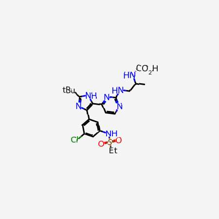 CCS(=O)(=O)Nc1cc(Cl)cc(-c2nc(C(C)(C)C)[nH]c2-c2ccnc(NCC(C)NC(=O)O)n2)c1